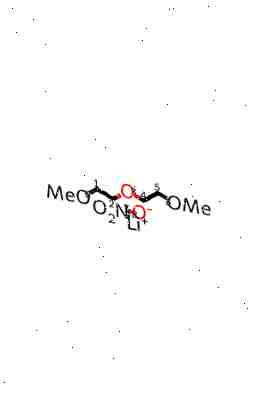 COCCOCCOC.O=[N+]([O-])[O-].[Li+]